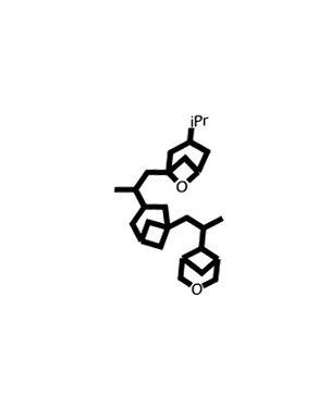 CC(C)C1CC2CC(CC(C)C3CC4CC(CC(C)C5C6COCC5C6)(C4)C3)(C1)O2